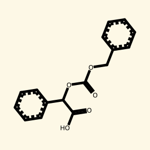 O=C(OCc1ccccc1)OC(C(=O)O)c1ccccc1